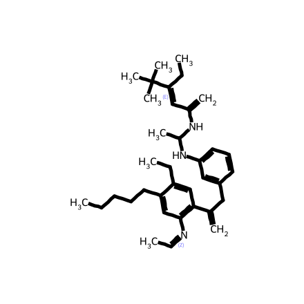 C=C(/C=C(\CC)C(C)(C)C)NC(C)Nc1cccc(CC(=C)c2cc(CC)c(CCCCC)cc2/N=C\C)c1